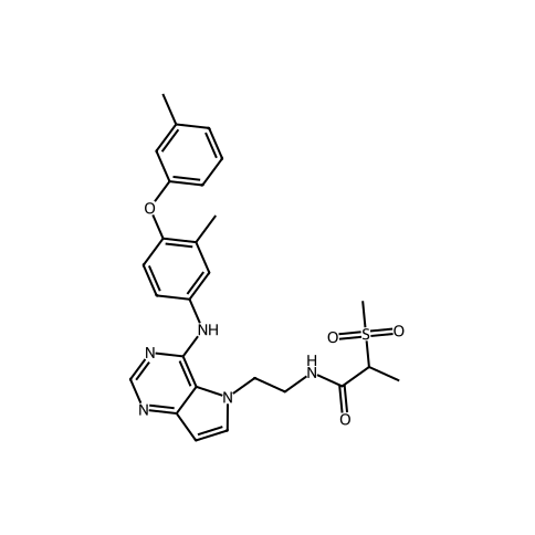 Cc1cccc(Oc2ccc(Nc3ncnc4ccn(CCNC(=O)C(C)S(C)(=O)=O)c34)cc2C)c1